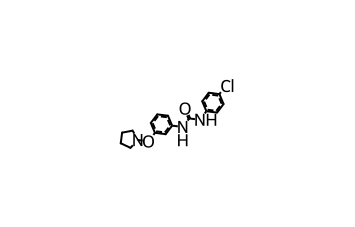 O=C(Nc1ccc(Cl)cc1)Nc1cccc(ON2CCCC2)c1